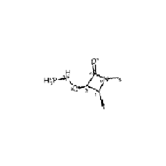 C[C@H]1[C@@H](OPP)C(=O)N1C